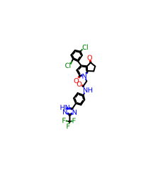 O=C(Cn1c2c(c(-c3cc(Cl)ccc3Cl)cc1=O)C(=O)CC2)Nc1ccc(-c2nc(C(F)(F)F)n[nH]2)cc1